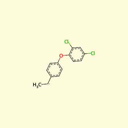 C[CH]c1ccc(Oc2ccc(Cl)cc2Cl)cc1